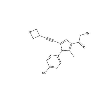 Cc1c(C(=O)CBr)cc(C#CC2COC2)n1-c1ccc(C#N)cc1